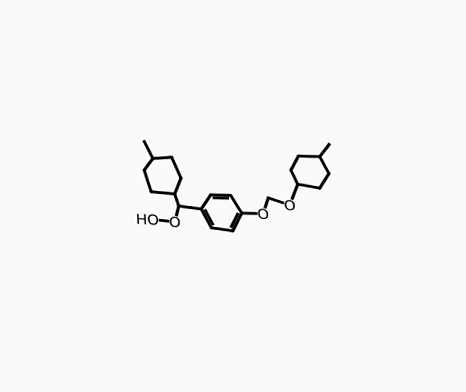 CC1CCC(OCOc2ccc(C(OO)C3CCC(C)CC3)cc2)CC1